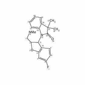 CNCC1Oc2cc(F)ccc2C1N1C(=O)C(C)(C)c2ccccc21